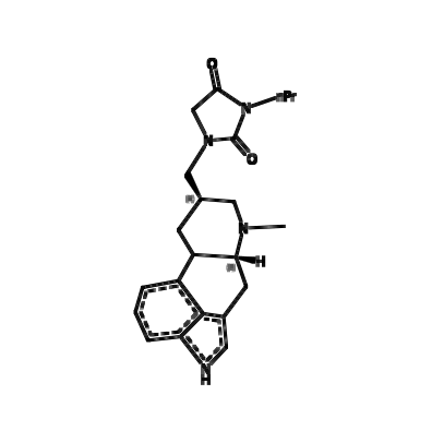 CCCN1C(=O)CN(C[C@@H]2CC3c4cccc5[nH]cc(c45)C[C@H]3N(C)C2)C1=O